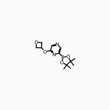 CC1(C)OB(c2cncc(OC3COC3)n2)OC1(C)C